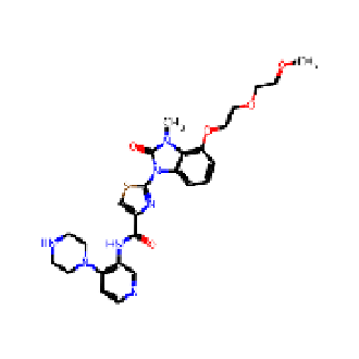 COCCOCCOc1cccc2c1n(C)c(=O)n2-c1nc(C(=O)Nc2cnccc2N2CCNCC2)cs1